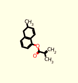 C=C(C)C(=O)Oc1cccc2c1C=CC(C)C2